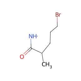 CC(CCCBr)C([NH])=O